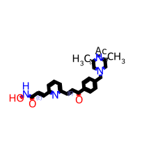 CC(=O)N1[C@H](C)CN(Cc2ccc(C(=O)/C=C/c3cccc(/C=C/C(=O)NO)n3)cc2)C[C@@H]1C